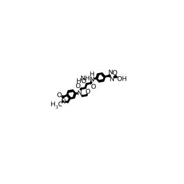 CN1Cc2cc(N3CCO[C@H]([C@@H](O)C(=O)Nc4ccc(-c5noc(O)n5)cc4)C3=O)ccc2C1=O.N